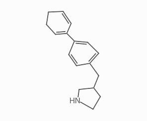 C1=CC(c2ccc(CC3CCNC3)cc2)=CCC1